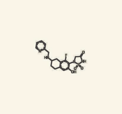 O=C1CN(c2c(O)cc3c(c2F)CC(NCc2ccccn2)CC3)S(=O)(=O)N1